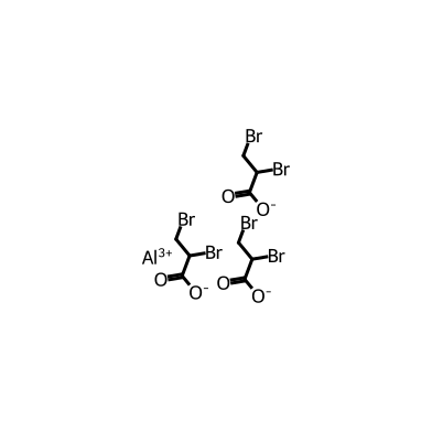 O=C([O-])C(Br)CBr.O=C([O-])C(Br)CBr.O=C([O-])C(Br)CBr.[Al+3]